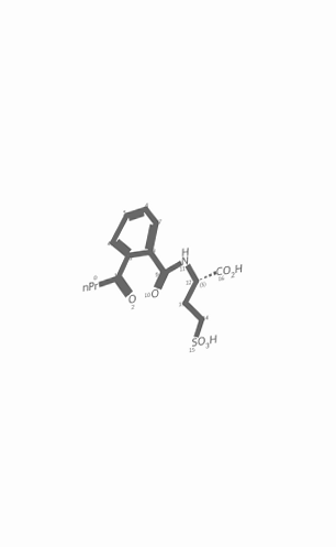 CCCC(=O)c1ccccc1C(=O)N[C@@H](CCS(=O)(=O)O)C(=O)O